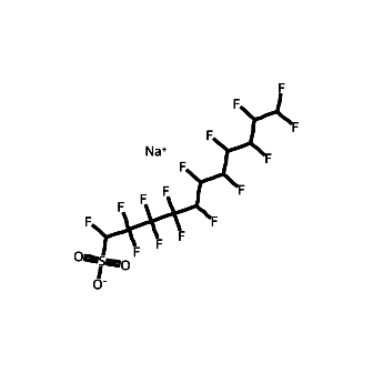 O=S(=O)([O-])C(F)C(F)(F)C(F)(F)C(F)(F)C(F)C(F)C(F)C(F)C(F)C(F)C(F)F.[Na+]